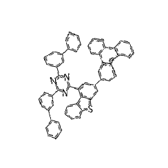 c1ccc(-c2cccc(-c3nc(-c4cccc(-c5ccccc5)c4)nc(-c4cc(-c5ccc6c7ccccc7c7ccccc7c6c5)cc5sc6ccccc6c45)n3)c2)cc1